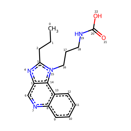 CCCc1nc2cnc3ccccc3c2n1CCCNC(=O)O